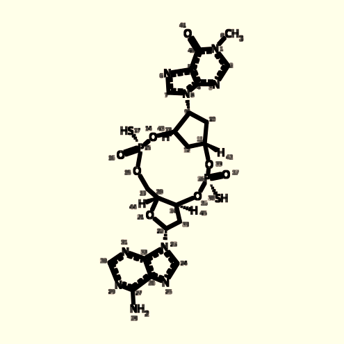 Cn1cnc2c(ncn2[C@@H]2C[C@H]3C[C@H]2O[P@@](=O)(S)OC[C@H]2O[C@@H](n4cnc5c(N)ncnc54)C[C@@H]2O[P@@](=O)(S)O3)c1=O